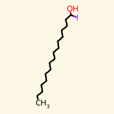 CCCCCCCCCCCCCCCCC(O)I